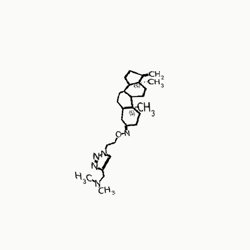 C=C1CCC2C3CCC4CC(=NOCCn5cc(CN(C)C)nn5)CC[C@]4(C)C3CC[C@]12C